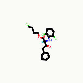 O=C(Cc1ccccc1)C(F)(Nc1c(Cl)cccc1Cl)C(=O)OCCCCCl